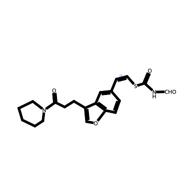 O=CNC(=O)S/C=C\c1ccc2occ(CCC(=O)N3CCCCC3)c2c1